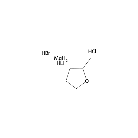 Br.CC1CCCO1.Cl.[LiH].[MgH2]